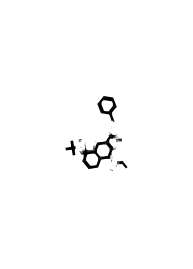 CCN(C)[C@@H]1c2onc(OCc3ccccc3)c2C(=O)C2(O[Si](C)(C)C(C)(C)C)C(=O)C=CCC12